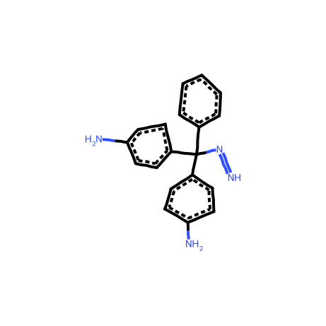 N=NC(c1ccccc1)(c1ccc(N)cc1)c1ccc(N)cc1